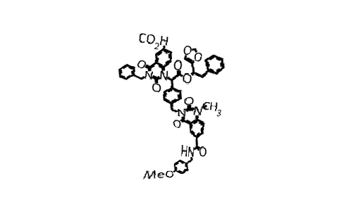 COc1ccc(CNC(=O)c2ccc3c(c2)c(=O)n(Cc2ccc(C(C(=O)OC(Cc4ccccc4)C4=COCO4)n4c(=O)n(Cc5ccccc5)c(=O)c5cc(C(=O)O)ccc54)cc2)c(=O)n3C)cc1